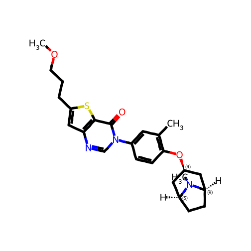 COCCCc1cc2ncn(-c3ccc(O[C@H]4C[C@H]5CC[C@@H](C4)N5C)c(C)c3)c(=O)c2s1